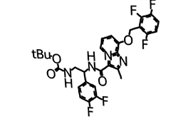 Cc1nc2c(OCc3c(F)ccc(F)c3F)cccn2c1C(=O)NC(CNC(=O)OC(C)(C)C)c1ccc(F)c(F)c1